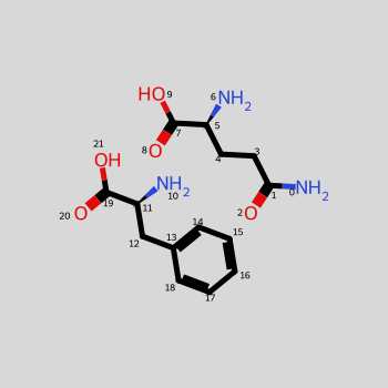 NC(=O)CC[C@H](N)C(=O)O.N[C@@H](Cc1ccccc1)C(=O)O